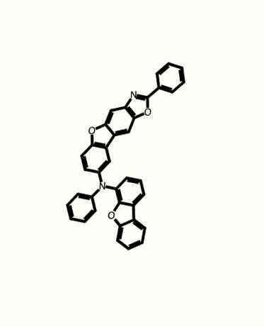 c1ccc(-c2nc3cc4oc5ccc(N(c6ccccc6)c6cccc7c6oc6ccccc67)cc5c4cc3o2)cc1